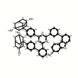 N#Cc1ccc2c(c1)oc1cccc(-c3cccc(-c4nc(-c5ccc(C67CC8C[C@H](C6)C[C@@H](C8)C7)cc5)nc(-c5ccccc5-c5ccc(C67CC8C[C@H](C6)C[C@@H](C8)C7)cc5)n4)c3)c12